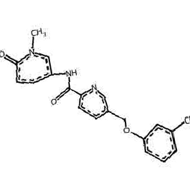 Cn1cc(NC(=O)c2ccc(COc3cccc(Cl)c3)cn2)ccc1=O